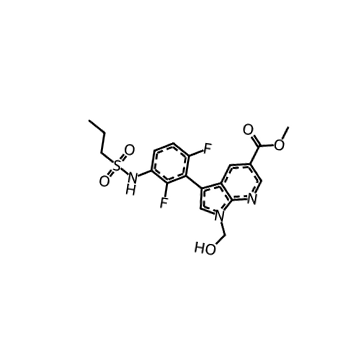 CCCS(=O)(=O)Nc1ccc(F)c(-c2cn(CO)c3ncc(C(=O)OC)cc23)c1F